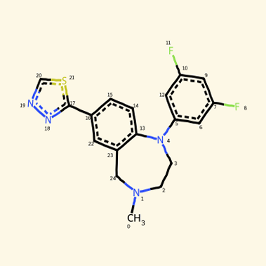 CN1CCN(c2cc(F)cc(F)c2)c2ccc(-c3nncs3)cc2C1